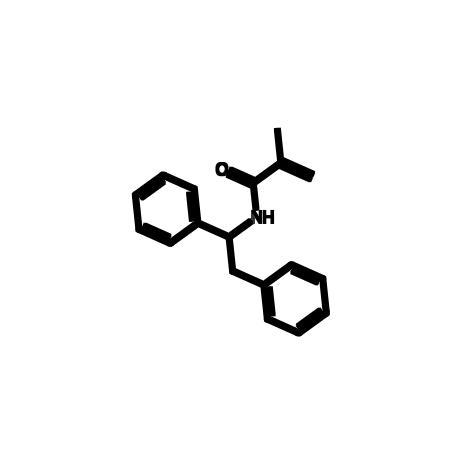 C=C(C)C(=O)NC(Cc1ccccc1)c1ccccc1